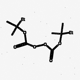 CCC(C)(C)OC(=O)OOC(=O)OC(C)(C)CC